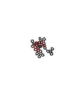 c1ccc(-c2ccccc2-c2c(-c3ccccc3)cccc2N(c2ccc(-c3ccc4c5ccccc5n(-c5ccccc5)c4c3)cc2)c2ccc3c(c2)C(c2ccccc2)(c2ccc(-c4ccc5c6c(-c7cccc(N(c8ccc9c(c8)C(c8ccccc8)(c8ccccc8)c8ccccc8-9)c8cccc(-c9ccccc9)c8-c8ccccc8-c8ccccc8)c7)cccc6n(-c6ccccc6)c5c4)cc2)c2ccccc2-3)cc1